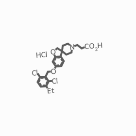 CCc1ccc(Cl)c(COc2ccc3c(c2)OCC32CCN(CCC(=O)O)CC2)c1Cl.Cl